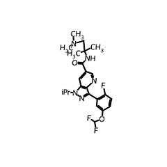 CC(C)n1nc(-c2cc(OC(F)F)ccc2F)c2ncc(C(=O)NC(C)(C)CN(C)C)cc21